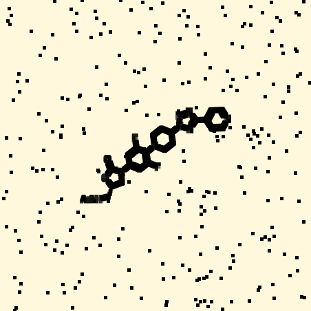 CC(=O)NC[C@H]1CN(c2cc(F)c(N3CCC(n4nnc(-c5ccncc5)n4)CC3)c(F)c2)C(=O)O1